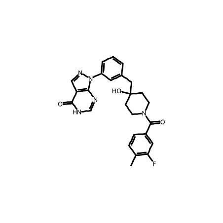 Cc1ccc(C(=O)N2CCC(O)(Cc3cccc(-n4ncc5c(=O)[nH]cnc54)c3)CC2)cc1F